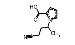 CC(CCC#N)n1cccc1C(=O)O